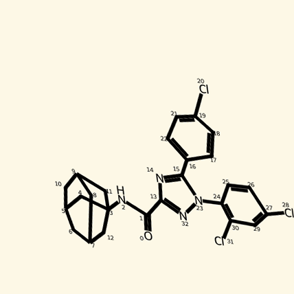 O=C(NC12CC3CC(CC(C3)C1)C2)c1nc(-c2ccc(Cl)cc2)n(-c2ccc(Cl)cc2Cl)n1